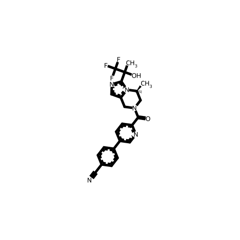 C[C@H]1CN(C(=O)c2ccc(-c3ccc(C#N)cc3)cn2)Cc2cnc(C(C)(O)C(F)(F)F)n21